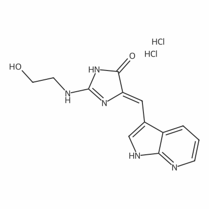 Cl.Cl.O=C1NC(NCCO)=N/C1=C\c1c[nH]c2ncccc12